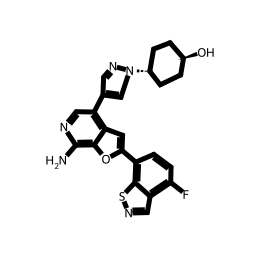 Nc1ncc(-c2cnn([C@H]3CC[C@H](O)CC3)c2)c2cc(-c3ccc(F)c4cnsc34)oc12